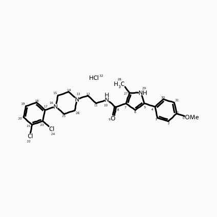 COc1ccc(-c2cc(C(=O)NCCN3CCN(c4cccc(Cl)c4Cl)CC3)c(C)[nH]2)cc1.Cl